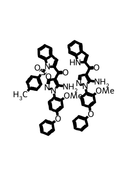 COc1cc(Oc2ccccc2)ccc1-n1ncc(C(=O)c2cc3ccccc3[nH]2)c1N.COc1cc(Oc2ccccc2)ccc1-n1ncc(C(=O)c2cc3ccccc3n2S(=O)(=O)c2ccc(C)cc2)c1N